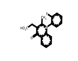 Cc1c(CC(=O)O)c(=O)c2ccccc2n1-c1ccccc1F